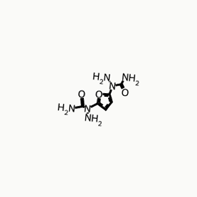 NC(=O)N(N)c1ccc(N(N)C(N)=O)o1